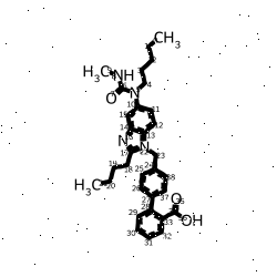 CCCCCN(C(=O)NC)c1ccc2c(c1)nc(CCCC)n2Cc1ccc(-c2ccccc2C(=O)O)cc1